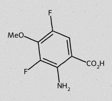 COc1c(F)cc(C(=O)O)c(N)c1F